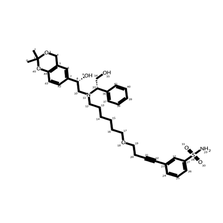 CC1(C)OCc2cc([C@H](O)CN(CCCCCCOCCC#Cc3cccc(S(N)(=O)=O)c3)[C@H](CO)c3ccccc3)ccc2O1